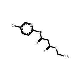 CCOC(=O)CC(=O)Nc1ccc(Cl)cn1